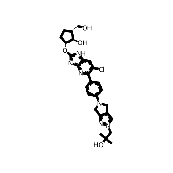 CC(C)(O)Cn1cc2c(n1)CN(c1ccc(-c3nc4nc(O[C@@H]5CC[C@H](CO)[C@H]5O)[nH]c4cc3Cl)cc1)C2